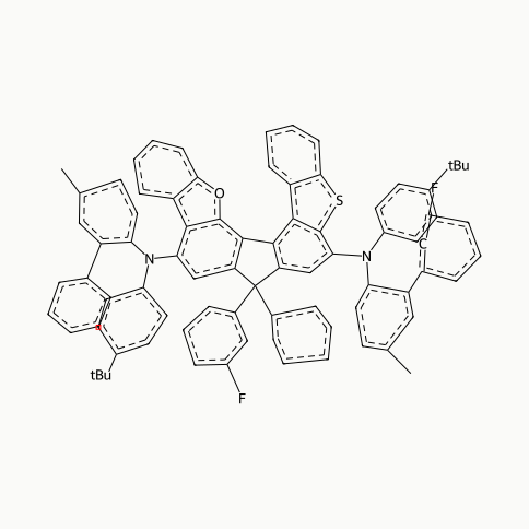 Cc1ccc(N(c2ccc(C(C)(C)C)cc2)c2cc3c(c4c2sc2ccccc24)-c2c(cc(N(c4ccc(C(C)(C)C)cc4)c4ccc(C)cc4-c4ccccc4)c4c2oc2ccccc24)C3(c2ccccc2)c2cccc(F)c2)c(-c2cccc(F)c2)c1